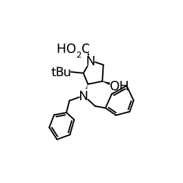 CC(C)(C)C1[C@@H](N(Cc2ccccc2)Cc2ccccc2)[C@H](O)CN1C(=O)O